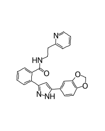 O=C(NCCc1ccccn1)c1ccccc1-c1cc(-c2ccc3c(c2)OCO3)[nH]n1